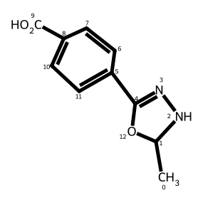 CC1NN=C(c2ccc(C(=O)O)cc2)O1